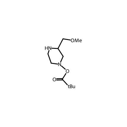 COCC1CN(OC(=O)C(C)(C)C)CCN1